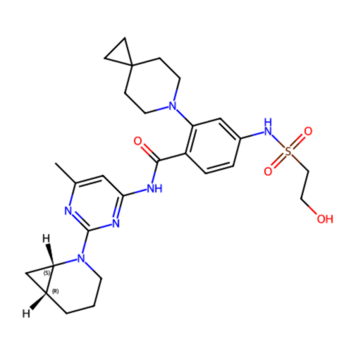 Cc1cc(NC(=O)c2ccc(NS(=O)(=O)CCO)cc2N2CCC3(CC2)CC3)nc(N2CCC[C@@H]3C[C@@H]32)n1